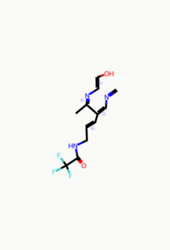 C=N/C=C(/C=C/CNC(=O)C(F)(F)F)C(\C)=N/C=C/O